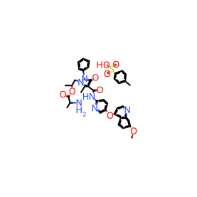 COc1ccc2c(Oc3ccc(NC(=O)c4c(C)n(CC(C)OC(=O)C(C)N)n(-c5ccccc5)c4=O)nc3)ccnc2c1.Cc1ccc(S(=O)(=O)O)cc1